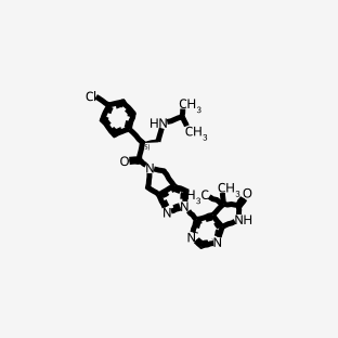 CC(C)NC[C@@H](C(=O)N1Cc2cn(-c3ncnc4c3C(C)(C)C(=O)N4)nc2C1)c1ccc(Cl)cc1